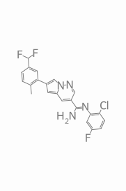 Cc1ccc(C(F)F)cc1-c1cc2cc(C(N)=Nc3cc(F)ccc3Cl)cnn2c1